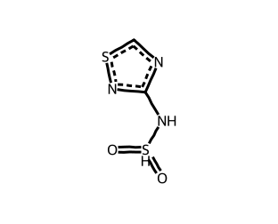 O=[SH](=O)Nc1ncsn1